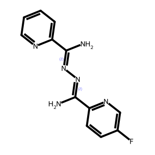 N/C(=N\N=C(/N)c1ccc(F)cn1)c1ccccn1